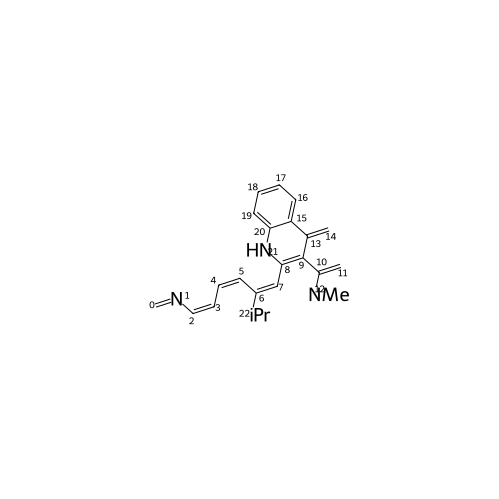 C=N\C=C/C=C\C(=C/C1=C(C(=C)NC)C(=C)c2ccccc2N1)C(C)C